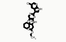 CCOC(=O)CC(Nc1nc(-c2c[nH]c3ncc(Cl)cc23)ncc1F)C1(C)CCCCC1